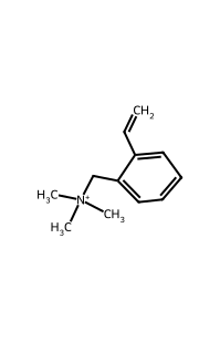 C=Cc1ccccc1C[N+](C)(C)C